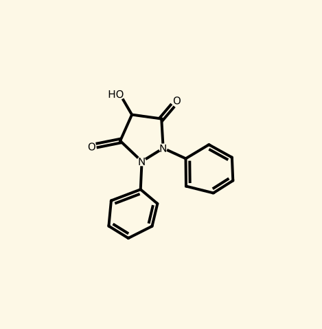 O=C1C(O)C(=O)N(c2ccccc2)N1c1ccccc1